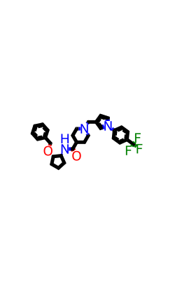 O=C(N[C@H]1CCC[C@@H]1OCc1ccccc1)C1CCN(Cc2ccn(-c3ccc(C(F)(F)F)cc3)c2)CC1